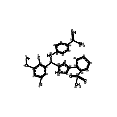 CCc1cc(OC(C)C)c(F)c(C(Nc2ccc(C(=N)N)cc2)c2nc(-c3ccccc3S(C)(=O)=O)c[nH]2)c1